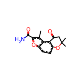 Cc1c(C(N)=O)oc2ccc3c(c12)C(=O)CC(C)(C)O3